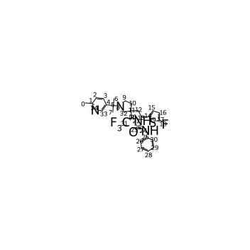 Cc1ccc(C(C)(C)N2CCC(CCc3ccc(F)s3)([C@@H](NC(=O)Nc3ccccc3)C(F)(F)F)C2)cn1